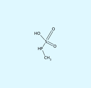 CPS(=O)(=O)O